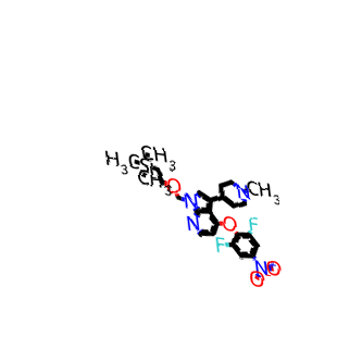 CN1CC=C(c2cn(COCC[Si](C)(C)C)c3nccc(Oc4c(F)cc([N+](=O)[O-])cc4F)c23)CC1